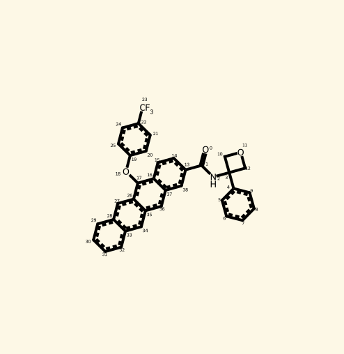 O=C(NC1(c2ccccc2)COC1)c1ccc2c(Oc3ccc(C(F)(F)F)cc3)c3cc4ccccc4cc3cc2c1